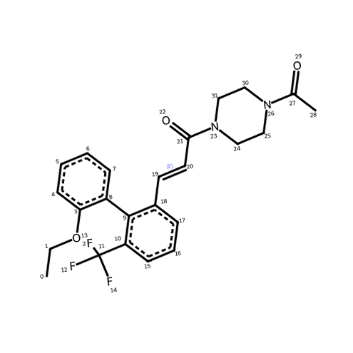 CCOc1ccccc1-c1c(C(F)(F)F)[c]ccc1/C=C/C(=O)N1CCN(C(C)=O)CC1